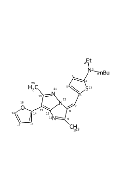 CCCCN(CC)c1ccc(/C=c2/c(C)nc3c(-c4ccco4)c(C)nn23)s1